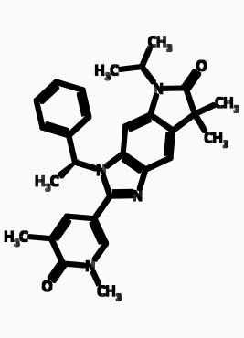 Cc1cc(-c2nc3cc4c(cc3n2[C@@H](C)c2ccccc2)N(C(C)C)C(=O)C4(C)C)cn(C)c1=O